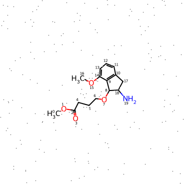 COC(=O)CCCOC1c2c(cccc2OC)CC1N